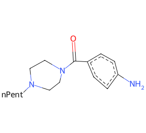 CCCCCN1CCN(C(=O)c2ccc(N)cc2)CC1